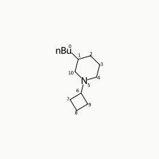 CCCCC1CCCN(C2CCC2)C1